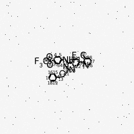 O=S(=O)(c1ccc(Nc2nc(COCc3ccccc3)nc3cc(-c4ncccc4C(F)(F)F)ccc23)cc1)C(F)(F)F